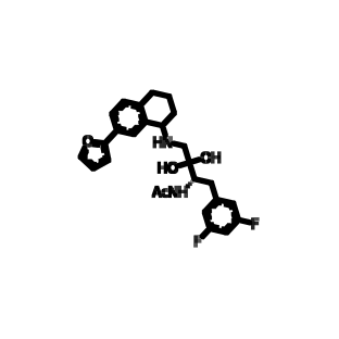 CC(=O)N[C@@H](Cc1cc(F)cc(F)c1)C(O)(O)CNC1CCCc2ccc(-c3ccco3)cc21